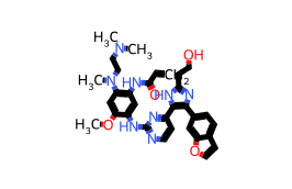 C=CC(=O)Nc1cc(Nc2nccc(-c3[nH]c(CCO)nc3-c3ccc4ccoc4c3)n2)c(OC)cc1N(C)CCN(C)C